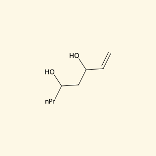 C=CC(O)CC(O)CCC